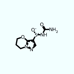 NC(=O)N[S+]([O-])c1cnn2c1OCCC2